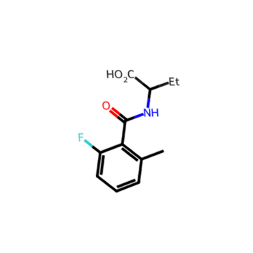 CCC(NC(=O)c1c(C)cccc1F)C(=O)O